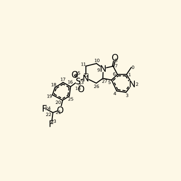 Cc1nccc2c1C(=O)N1CCN(S(=O)(=O)c3cccc(OC(F)F)c3)CC21